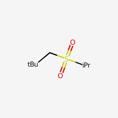 CC(C)S(=O)(=O)CC(C)(C)C